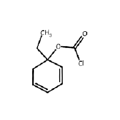 CCC1(OC(=O)Cl)C=CC=CC1